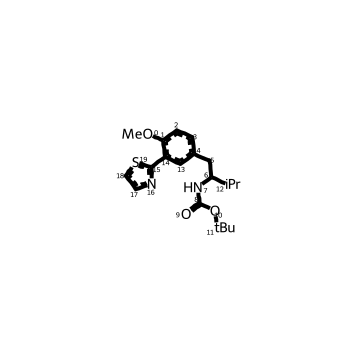 COc1ccc(CC(NC(=O)OC(C)(C)C)C(C)C)cc1-c1nccs1